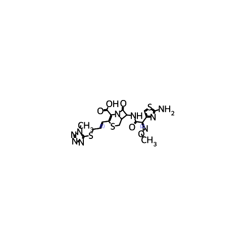 CO/N=C(\C(=O)NC1C(=O)N2C(C(=O)O)=C(/C=C/CSc3nnnn3C)SCC12)c1csc(N)n1